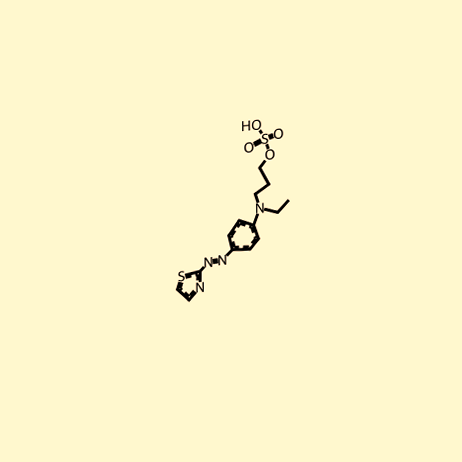 CCN(CCCOS(=O)(=O)O)c1ccc(N=Nc2nccs2)cc1